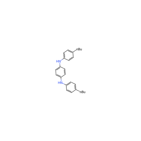 CCCCc1ccc(Nc2ccc(Nc3ccc(CCCC)cc3)cc2)cc1